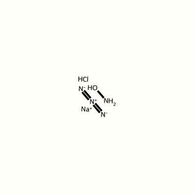 Cl.NO.[N-]=[N+]=[N-].[Na+]